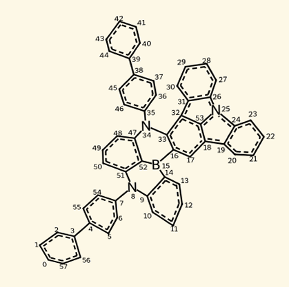 c1ccc(-c2ccc(N3c4ccccc4B4c5cc6c7ccccc7n7c8ccccc8c(c5N(c5ccc(-c8ccccc8)cc5)c5cccc3c54)c67)cc2)cc1